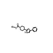 CC(C)(C)OC(=O)N1CCC(c2nc(-c3ccccc3)c[nH]2)CC1